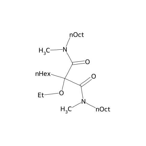 CCCCCCCCN(C)C(=O)C(CCCCCC)(OCC)C(=O)N(C)CCCCCCCC